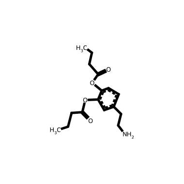 CCCC(=O)Oc1ccc(CCN)cc1OC(=O)CCC